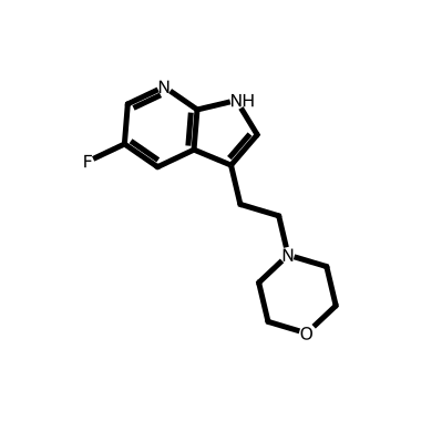 Fc1cnc2[nH]cc(CCN3CCOCC3)c2c1